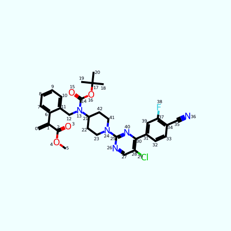 C=C(C(=O)OC)c1ccccc1CN(C(=O)OC(C)(C)C)C1CCN(c2ncc(Cl)c(-c3ccc(C#N)c(F)c3)n2)CC1